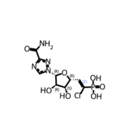 NC(=O)c1ncn([C@@H]2O[C@H](/C=C(\Cl)P(=O)(O)O)[C@@H](O)[C@H]2O)n1